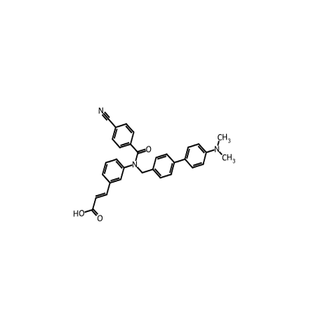 CN(C)c1ccc(-c2ccc(CN(C(=O)c3ccc(C#N)cc3)c3cccc(/C=C/C(=O)O)c3)cc2)cc1